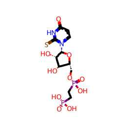 O=c1ccn([C@@H]2O[C@H](COP(=O)(O)CCP(=O)(O)O)[C@H](O)[C@@H]2O)c(=S)[nH]1